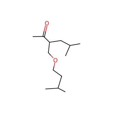 CC(=O)C(COCCC(C)C)CC(C)C